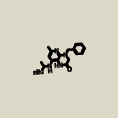 CCCCC(C)Nc1cc(C)nc2c1NC(=O)CN2Cc1ccccc1